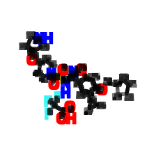 O=C(O)C(F)(F)F.O=S(=O)(Nc1noc2cc(OCC3CCCC3)c(C3CC3)cc12)N1CCC(O[C@@H]2CCNC2)CC1